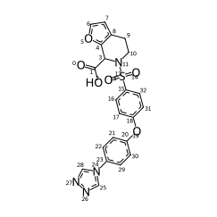 O=C(O)C1c2occc2CCN1S(=O)(=O)c1ccc(Oc2ccc(-n3cnnc3)cc2)cc1